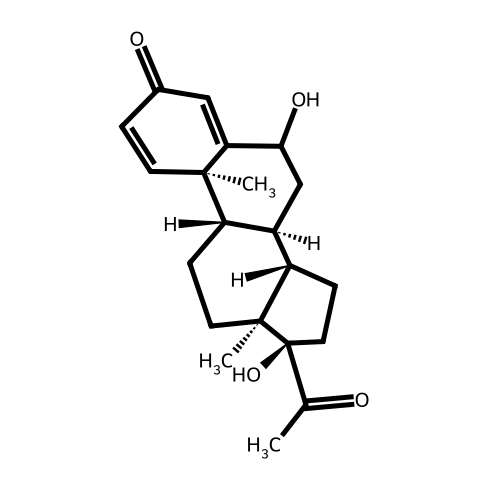 CC(=O)[C@@]1(O)CC[C@H]2[C@@H]3CC(O)C4=CC(=O)C=C[C@]4(C)[C@H]3CC[C@@]21C